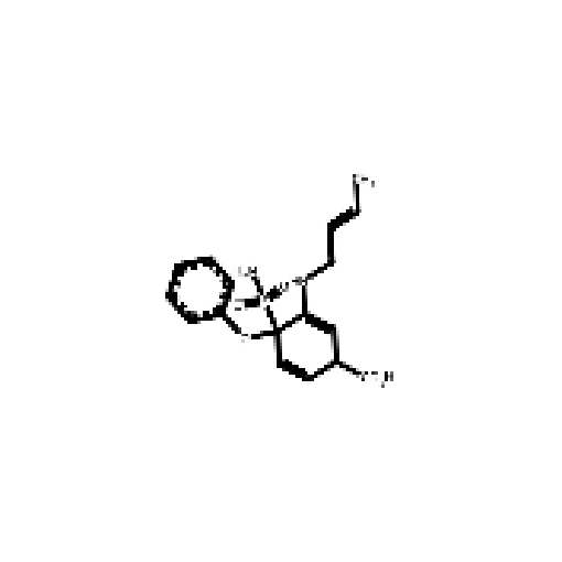 C/C=C/CNC1=CC(C(=O)O)C=CC1(Oc1ccccc1)S(N)(=O)=O